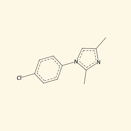 Cc1cn(-c2ccc(Cl)cc2)c(C)n1